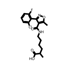 Cc1onc(-c2c(F)cccc2Cl)c1C(=O)NCCCCC(C)C(=O)O